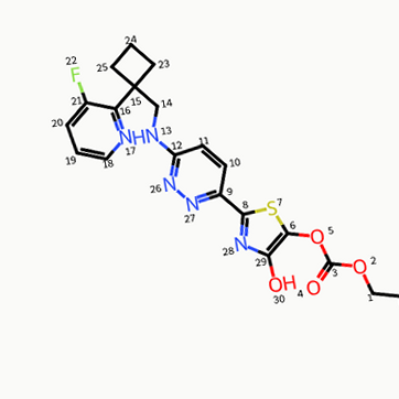 CCOC(=O)Oc1sc(-c2ccc(NCC3(c4ncccc4F)CCC3)nn2)nc1O